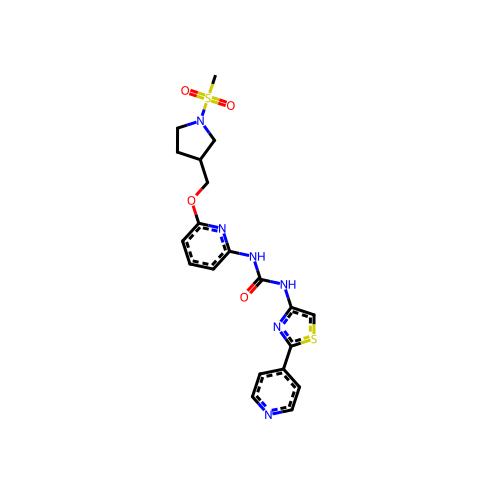 CS(=O)(=O)N1CCC(COc2cccc(NC(=O)Nc3csc(-c4ccncc4)n3)n2)C1